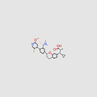 COc1cc(-c2ccc(C3CCc4ccc([C@H](C5CC5)[C@H](C)C(=O)O)cc4O3)cc2[C@H](C)N(C)C)c(F)cn1